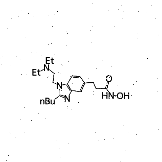 CCCCc1nc2cc(CCC(=O)NO)ccc2n1CCN(CC)CC